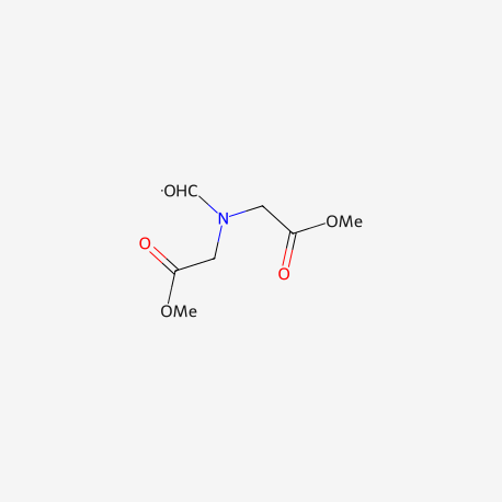 COC(=O)CN([C]=O)CC(=O)OC